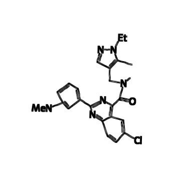 CCn1ncc(CN(C)C(=O)c2nc(-c3cccc(NC)c3)nc3ccc(Cl)cc23)c1C